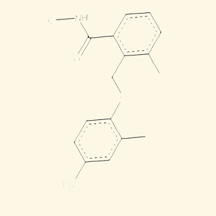 Cc1cc(O)ccc1OCc1c(C)cccc1C(=O)NCl